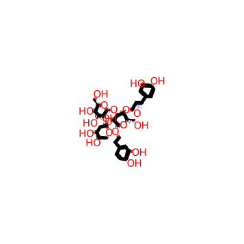 O=C(/C=C/c1ccc(O)c(O)c1)O[C@H]1[C@H](O[C@@H]2O[C@H](CO)[C@@H](O)[C@H](O)[C@H]2O)[C@@H](O[C@H]2C[C@@H](O)[C@@H](O)CO2)[C@H](OCCc2ccc(O)c(O)c2)O[C@@H]1CO